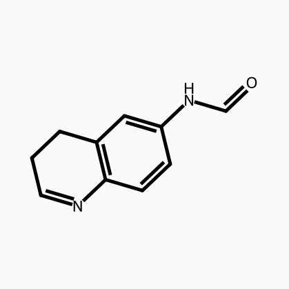 O=CNc1ccc2c(c1)CCC=N2